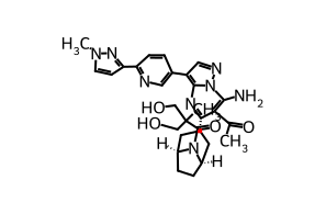 CC(=O)c1c([C@@H]2C[C@H]3CC[C@@H](C2)N3C(=O)C(C)(CO)CO)nc2c(-c3ccc(-c4ccn(C)n4)nc3)cnn2c1N